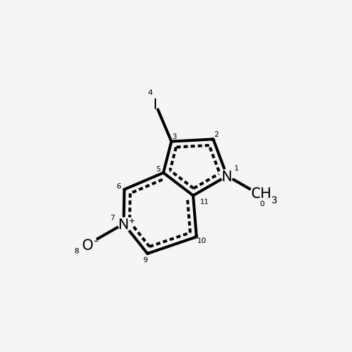 Cn1cc(I)c2c[n+]([O-])ccc21